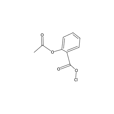 CC(=O)Oc1ccccc1C(=O)OCl